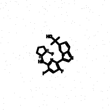 CC(C)(O)c1ccc2ncc(-c3nc(N[C@H]4CCC[C@@H]4F)c(F)cc3F)n2c1